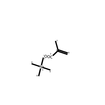 C=C(C)C(=O)[O-].C[N+](C)(C)C